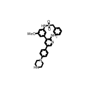 COc1cc(NS(=O)(=O)Cc2ccccc2)cc(-c2cc(-c3ccc(N4CCNCC4)cc3)cnc2N)c1